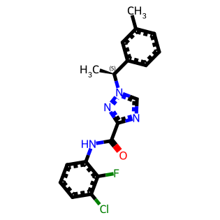 Cc1cccc([C@H](C)n2cnc(C(=O)Nc3cccc(Cl)c3F)n2)c1